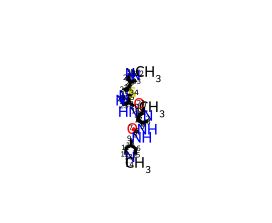 Cc1ncc(NC(=O)NCC2CCN(C)CC2)cc1NC(=O)c1cnn2cc(-c3cnn(C)c3)sc12